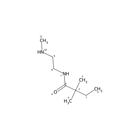 CCC(C)(C)C(=O)NCCNC